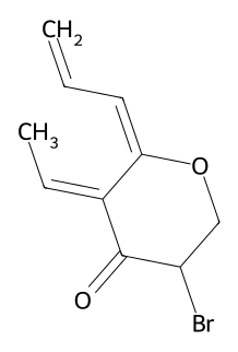 C=C/C=C1/OCC(Br)C(=O)/C1=C/C